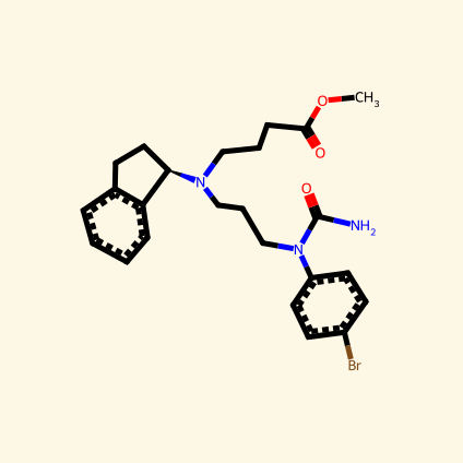 COC(=O)CCCN(CCCN(C(N)=O)c1ccc(Br)cc1)[C@@H]1CCc2ccccc21